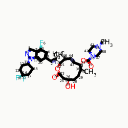 C/C(=C\c1cc(F)c2cnn(C3CCC(F)(F)CC3)c2c1)[C@H]1OC(=O)C[C@H](O)CC[C@H](C)[C@@H](OC(=O)N2CCN(C)CC2)/C=C/[C@@H]1C